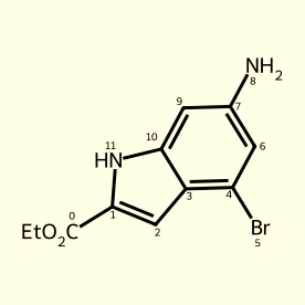 CCOC(=O)c1cc2c(Br)cc(N)cc2[nH]1